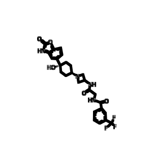 O=C(CNC(=O)c1cccc(C(F)(F)F)c1)NC1CN([C@H]2CC[C@@](O)(c3ccc4oc(=O)[nH]c4c3)CC2)C1